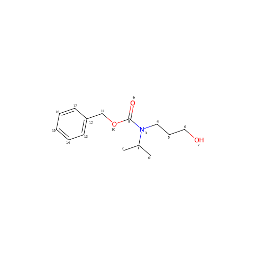 CC(C)N(CCCO)C(=O)OCc1ccccc1